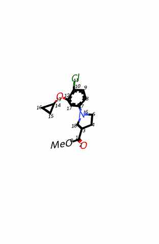 COC(=O)C1CCN(c2ccc(Cl)c(OC3CC3)c2)C1